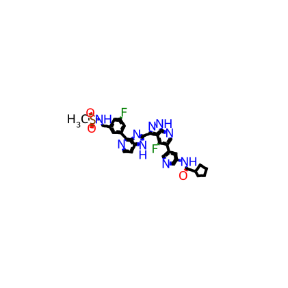 CS(=O)(=O)NCc1cc(F)cc(-c2nccc3[nH]c(-c4n[nH]c5ncc(-c6cncc(NC(=O)C7CCCC7)c6)c(F)c45)nc23)c1